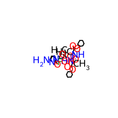 CC[C@]1(COP(=O)(NC(C)C(=O)OC2CCCCC2)NC(C)C(=O)OC2CCCCC2)OC[C@](F)(n2ccc(N)nc2=O)[C@@H]1O